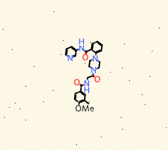 COc1ccc(C(=O)NCC(=O)N2CCN(c3ccccc3C(=O)Nc3cccnc3)CC2)cc1C